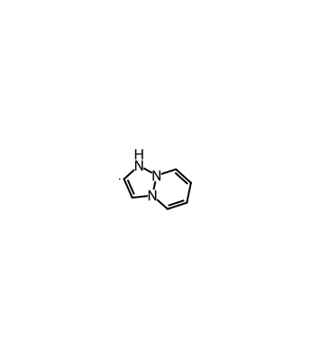 [C]1=CN2C=CC=CN2N1